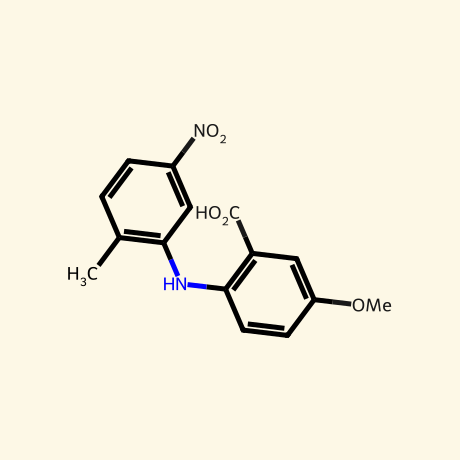 COc1ccc(Nc2cc([N+](=O)[O-])ccc2C)c(C(=O)O)c1